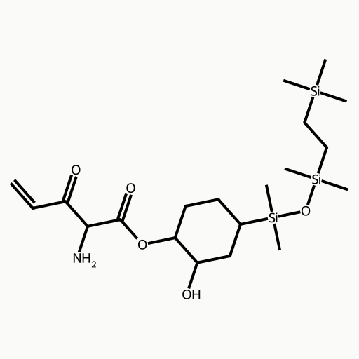 C=CC(=O)C(N)C(=O)OC1CCC([Si](C)(C)O[Si](C)(C)CC[Si](C)(C)C)CC1O